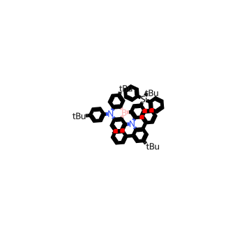 Cc1cc2c3c(c1)N(c1c(-c4ccccc4)cc(C(C)(C)C)cc1-c1ccccc1)c1ccc([Si](c4ccccc4)(c4ccccc4)C(C)(C)C)cc1B3c1cc(C(C)(C)C)ccc1N2c1ccc(C(C)(C)C)cc1